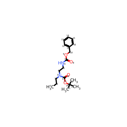 CCCN(CCNC(=O)OCc1ccccc1)C(=O)OC(C)(C)C